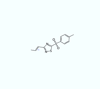 C/C=C/c1nsc(S(=O)(=O)c2ccc(C)cc2)n1